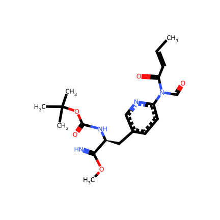 C/C=C/C(=O)N(C=O)c1ccc(C[C@H](NC(=O)OC(C)(C)C)C(=N)OC)cn1